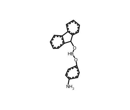 Nc1ccc(OBOC2c3ccccc3-c3ccccc32)cc1